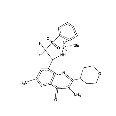 Cc1cc(C(N[S@+]([O-])C(C)(C)C)C(F)(F)S(=O)(=O)c2ccccc2)c2nc(C3CCOCC3)n(C)c(=O)c2c1